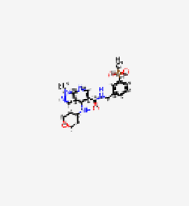 CCn1ncc2c(NC3CCOCC3)c(C(=O)NCc3cccc(S(C)(=O)=O)c3)cnc21